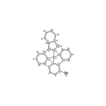 Brc1cccc2c1-c1ccccc1C21c2ccccc2-c2c1oc1ccccc21